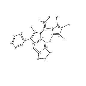 CC1=C(C)[CH]([Zr]([CH]2C(C)=C(c3ccccc3)c3cc4c(cc32)CCC4)=[Si](C)C)C(C)=C1C